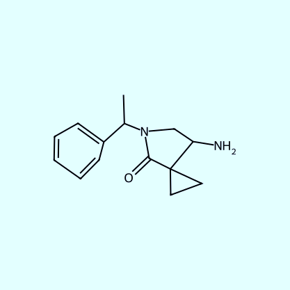 CC(c1ccccc1)N1CC(N)C2(CC2)C1=O